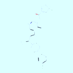 C=C1c2c(sc(C(=C)N3CCN(C4(C)C=CC(F)=CC4)CC3)c2C)N=CN1CC(=O)N1CCC(F)(F)C1